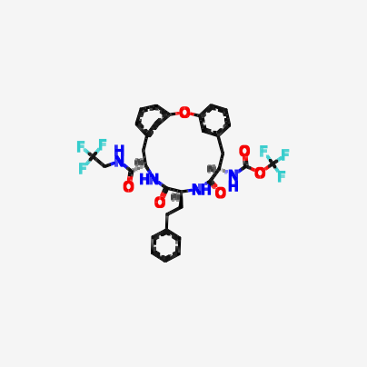 O=C(N[C@H]1Cc2cccc(c2)Oc2cccc(c2)C[C@@H](C(=O)NCC(F)(F)F)NC(=O)[C@H](CCc2ccccc2)NC1=O)OC(F)(F)F